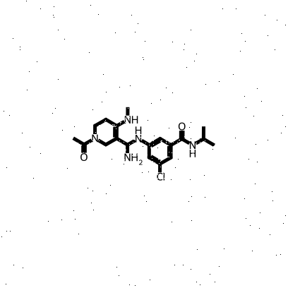 CNC1=C(C(N)Nc2cc(Cl)cc(C(=O)NC(C)C)c2)CN(C(C)=O)CC1